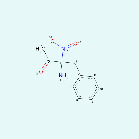 CC(=O)C(N)(Cc1ccccc1)[N+](=O)[O-]